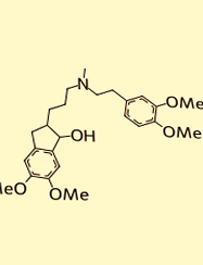 COc1ccc(CCN(C)CCCC2Cc3cc(OC)c(OC)cc3C2O)cc1OC